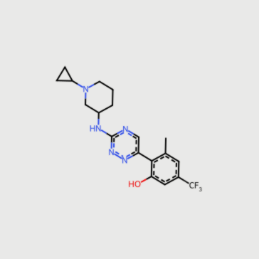 Cc1cc(C(F)(F)F)cc(O)c1-c1cnc(NC2CCCN(C3CC3)C2)nn1